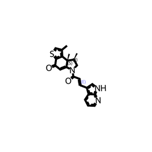 Cc1csc2c1[C@@]1(C)C(=CC2=O)N(C(=O)/C=C/c2c[nH]c3ncccc23)C[C@@H]1C